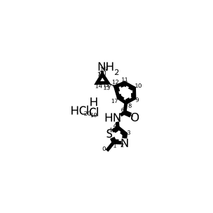 Cc1ncc(NC(=O)c2cccc([C@@H]3C[C@H]3N)c2)s1.Cl.Cl